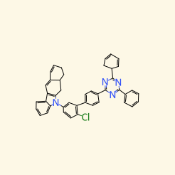 Clc1ccc(-n2c3c(c4ccccc42)C=C2C=CCCC2C3)cc1-c1ccc(-c2nc(-c3ccccc3)nc(C3C=CC=CC3)n2)cc1